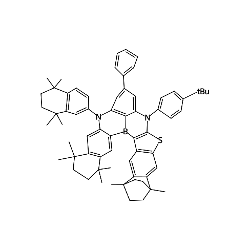 CC(C)(C)c1ccc(N2c3cc(-c4ccccc4)cc4c3B(c3cc5c(cc3N4c3ccc4c(c3)C(C)(C)CCC4(C)C)C(C)(C)CCC5(C)C)c3c2sc2cc4c(cc32)C2(C)CCC4(C)CC2)cc1